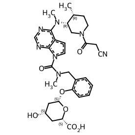 C[C@@H]1CCN(C(=O)CC#N)C[C@@H]1N(C)c1ncnc2c1ccn2C(=O)N(C)Cc1ccccc1O[C@H]1C[C@@H](O)C[C@@H](C(=O)O)O1